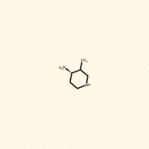 CC1CNCC[C@H]1N